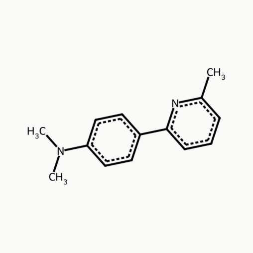 Cc1cccc(-c2ccc(N(C)C)cc2)n1